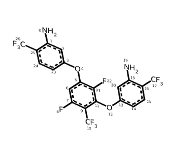 Nc1cc(Oc2cc(F)c(C(F)(F)F)c(Oc3ccc(C(F)(F)F)c(N)c3)c2F)ccc1C(F)(F)F